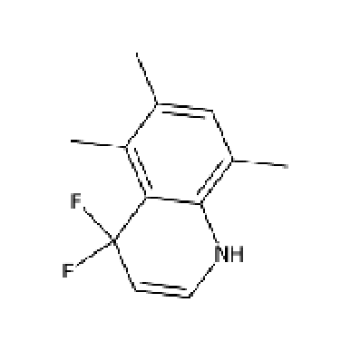 Cc1cc(C)c2c(c1C)C(F)(F)C=CN2